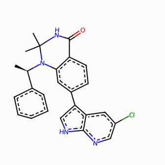 C[C@H](c1ccccc1)N1c2cc(-c3c[nH]c4ncc(Cl)cc34)ccc2C(=O)NC1(C)C